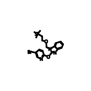 C[Si](C)(C)CCOCn1c(Oc2ccc(Br)cn2)nc2ccccc21